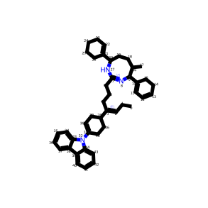 CC/C=C(\CCC/C1=N/C(C2=CC=CCC2)C(C)CCC(C2=CCCCC2)N1)C1CC=C(n2c3ccccc3c3ccccc32)CC1